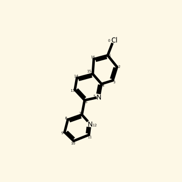 Clc1ccc2nc(-c3ccccn3)ccc2c1